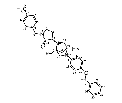 Cc1ccc(CN2CC[C@@H](N3C[C@@H]4C[C@H]3CN4c3ccc(OCc4ccccc4)cn3)C2=O)cc1